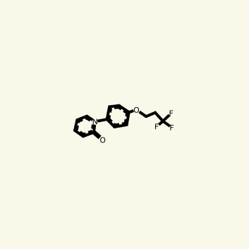 O=c1ccccn1-c1ccc(OCCC(F)(F)F)cc1